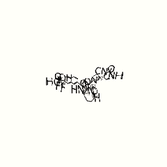 N#CC1CN(C(=O)[C@@H]2CC[C@@H]3CCCC[C@H](NC(=O)c4ccc5ccc(C(F)(F)P(=O)(O)O)cc5c4)C(=O)N32)C[C@H]1c1cc[nH]c(=O)c1